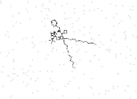 CCCCCCCCCCC(CCCCCCCCCC)OC(=O)[C@H](Cc1ccccc1)NC(=O)OC(C)(C)C